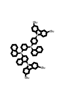 CC(C)(C)c1ccc2c(c1)c1cc(C(C)(C)C)ccc1n2-c1ccc(N(c2cccc(N(c3cccc4ccccc34)c3ccc(-n4c5ccc(C(C)(C)C)cc5c5cc(C(C)(C)C)ccc54)c4ccccc34)c2)c2cccc3ccccc23)cc1